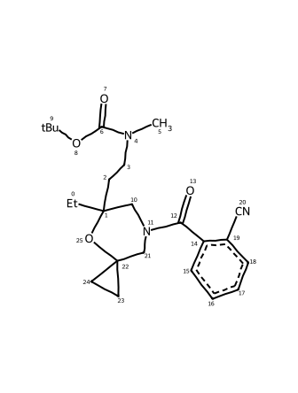 CCC1(CCN(C)C(=O)OC(C)(C)C)CN(C(=O)c2ccccc2C#N)CC2(CC2)O1